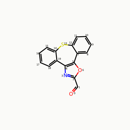 O=Cc1nc2c(o1)-c1ccccc1Sc1ccccc1-2